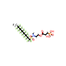 CN(CCOC(=O)CCP(=O)(O)O)S(=O)(=O)C(F)(F)C(F)(F)C(F)(F)C(F)(F)C(F)(F)C(F)(F)C(F)(F)C(F)(F)F